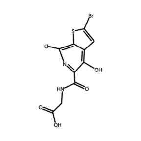 O=C(O)CNC(=O)c1nc(Cl)c2sc(Br)cc2c1O